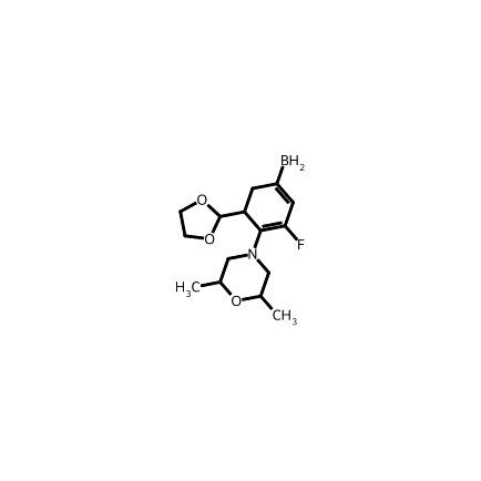 BC1=CC(F)=C(N2CC(C)OC(C)C2)C(C2OCCO2)C1